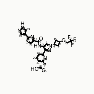 O=C(Nc1cn([C@H]2C[C@H](OCC(F)(F)F)C2)nc1-c1cccc(F)n1)c1csc(-c2cn[nH]c2)n1.O=CO